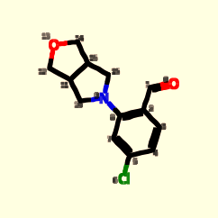 O=Cc1ccc(Cl)cc1N1CC2COCC2C1